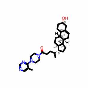 Cc1cncnc1N1CCN(C(=O)CCC(C)[C@H]2CC[C@H]3[C@@H]4CC=C5C[C@@H](O)CC[C@]5(C)[C@H]4CC[C@]23C)CC1